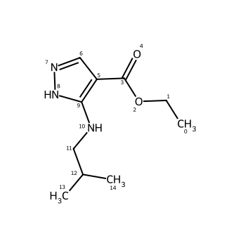 CCOC(=O)c1cn[nH]c1NCC(C)C